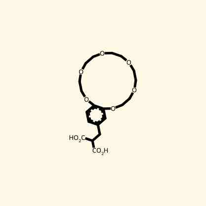 O=C(O)C(Cc1ccc2c(c1)OCCOCCOCCOCCOCCO2)C(=O)O